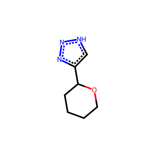 c1[nH]nnc1C1CCCCO1